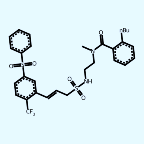 CCCCc1ccccc1C(=O)N(C)CCNS(=O)(=O)CC=Cc1cc(S(=O)(=O)c2ccccc2)ccc1C(F)(F)F